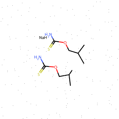 CC(C)COC(N)=S.CC(C)COC(N)=S.[NaH]